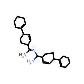 NC(NC(N)C1C=CC(C2=CCCCC2)CC1)C1C=CC(C2=CCCCC2)CC1